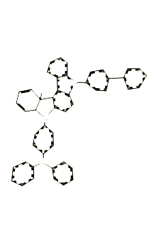 IC12C=CC=CC1N(c1ccc(N(c3ccccc3)c3ccccc3)cc1)c1ccc3c(c12)c1ccccc1n3-c1ccc(-c2ccccc2)cc1